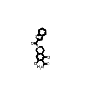 NC(=O)c1c(Cl)cc2c(c1Cl)CCN(C(=O)c1cc3ccccc3s1)C2